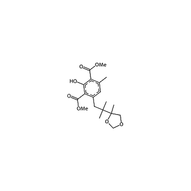 COC(=O)c1c(C)cc(CC(C)(C)C2(C)COCO2)c(C(=O)OC)c1O